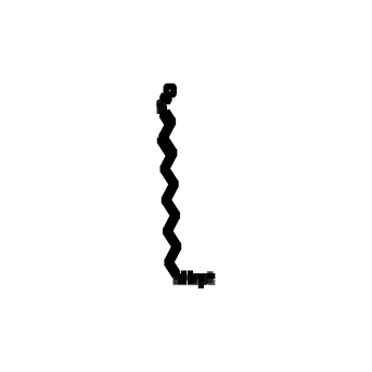 CCCCCCCCCCCCCCC=CC=S=O